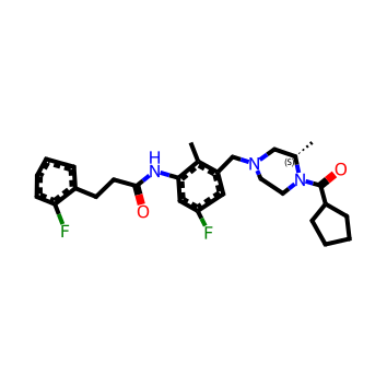 Cc1c(CN2CCN(C(=O)C3CCCC3)[C@@H](C)C2)cc(F)cc1NC(=O)CCc1ccccc1F